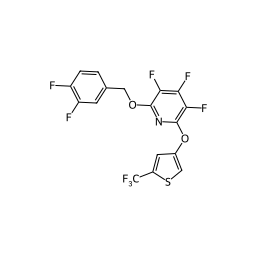 Fc1ccc(COc2nc(Oc3csc(C(F)(F)F)c3)c(F)c(F)c2F)cc1F